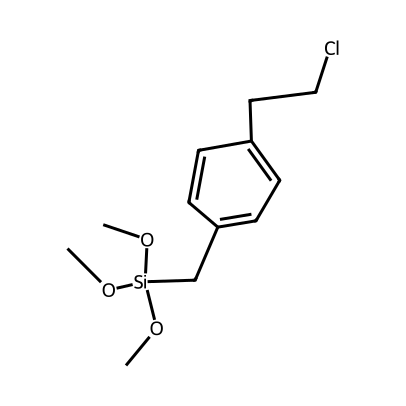 CO[Si](Cc1ccc(CCCl)cc1)(OC)OC